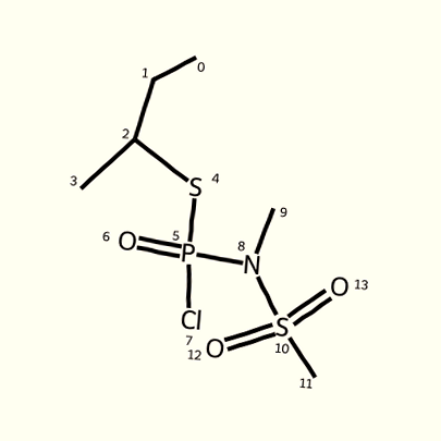 CCC(C)SP(=O)(Cl)N(C)S(C)(=O)=O